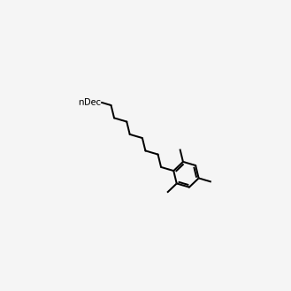 CCCCCCCCCCCCCCCCCCc1c(C)cc(C)cc1C